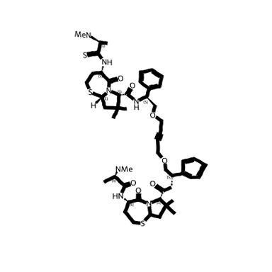 CN[C@@H](C)C(=O)N[C@H]1CCSC2CC(C)(C)[C@@H](C(=O)C[C@H](COCC#CCOC[C@@H](NC(=O)[C@H]3N4C(=O)[C@@H](NC(=S)[C@H](C)NC)CCS[C@H]4CC3(C)C)c3ccccc3)c3ccccc3)N2C1=O